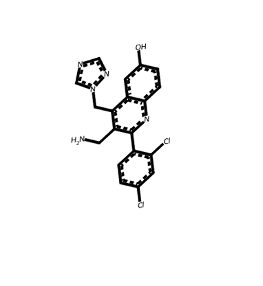 NCc1c(-c2ccc(Cl)cc2Cl)nc2ccc(O)cc2c1Cn1cncn1